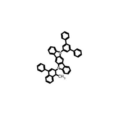 CC1c2ccccc2C(c2ccccc2)=CC1n1c2ccccc2c2cc3c(cc21)c1ccccc1n3-c1cc(-c2ccccc2)cc(-c2ccccc2)c1